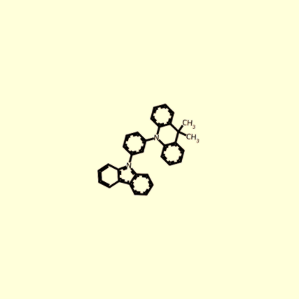 CC1(C)c2ccccc2N(c2cccc(-n3c4c(c5ccccc53)C=C=C=C4)c2)c2ccccc21